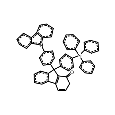 O=C1CC=CC2=C1C(c1ccc(-n3c4ccccc4c4ccccc43)cc1)(c1ccc([Si](c3ccccc3)(c3ccccc3)c3ccccc3)cc1)c1ccccc12